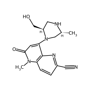 C[C@@H]1CN(c2cc(=O)n(C)c3ccc(C#N)nc23)[C@@H](CO)CN1